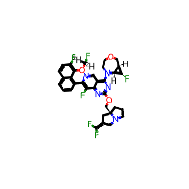 [2H]C([2H])(F)Oc1c(F)ccc2cccc(-c3ncc4c(N5CCOC[C@H]6[C@H](F)[C@H]65)nc(OC[C@@]56CCCN5CC(=C(F)F)C6)nc4c3F)c12